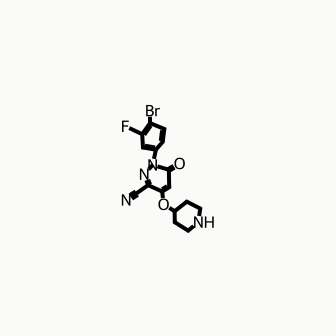 N#Cc1nn(-c2ccc(Br)c(F)c2)c(=O)cc1OC1CCNCC1